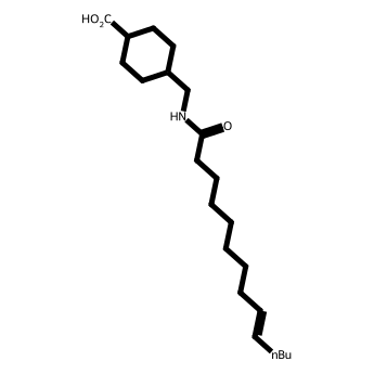 CCCCC=CCCCCCCCC(=O)NCC1CCC(C(=O)O)CC1